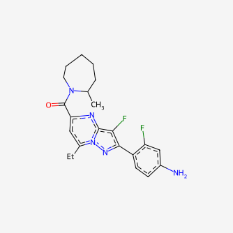 CCc1cc(C(=O)N2CCCCCC2C)nc2c(F)c(-c3ccc(N)cc3F)nn12